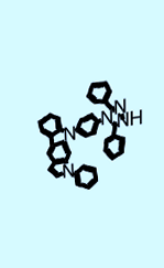 c1ccc(C2=NNC(c3ccccc3)N2c2ccc(-n3c4ccccc4c4cc5ccn(-c6ccccc6)c5cc43)cc2)cc1